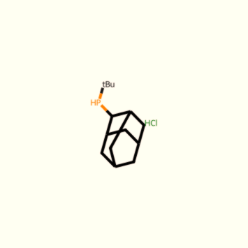 CC(C)(C)PC1C2CC3CC(C2)CC1C3.Cl